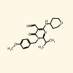 COc1ccc(Cn2c(C(C)C)nc(NC3CCOCC3)c(C=N)c2=O)cc1